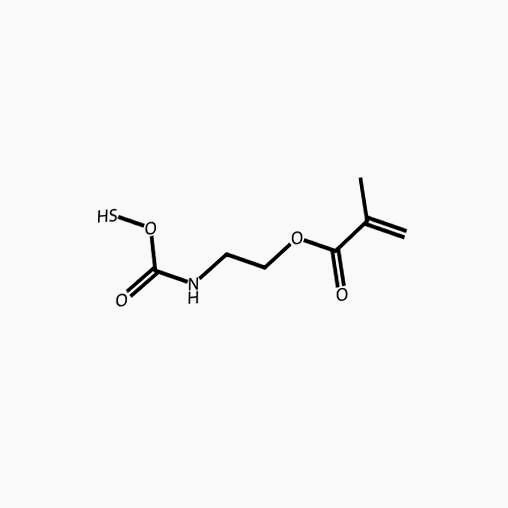 C=C(C)C(=O)OCCNC(=O)OS